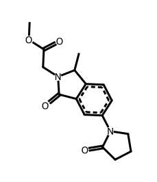 COC(=O)CN1C(=O)c2cc(N3CCCC3=O)ccc2C1C